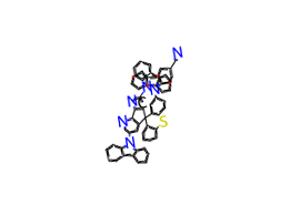 N#Cc1ccc2c(c1)c1ccccc1n2-c1ccc2c(c1)C1(c3ccccc3S2)c2cc(-n3c4ccccc4c4ccccc43)cnc2-c2ncc(-n3c4ccccc4c4ccccc43)cc21